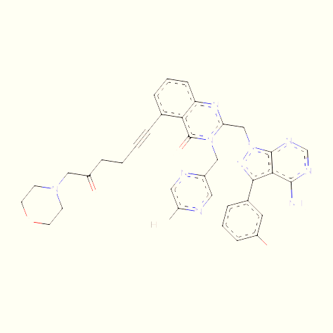 Cc1cnc(Cn2c(Cn3nc(-c4cccc(O)c4)c4c(N)ncnc43)nc3cccc(C#CCCC(=O)CN4CCOCC4)c3c2=O)cn1